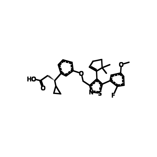 COc1ccc(F)c(-c2snc(COc3cccc([C@@H](CC(=O)O)C4CC4)c3)c2C2=CCCC2(C)C)c1